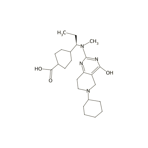 CC[C@H](C1CCC(C(=O)O)CC1)N(C)c1nc(O)c2c(n1)CCN(C1CCCCC1)C2